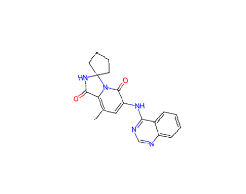 Cc1cc(Nc2ncnc3ccccc23)c(=O)n2c1C(=O)NC21CCCC1